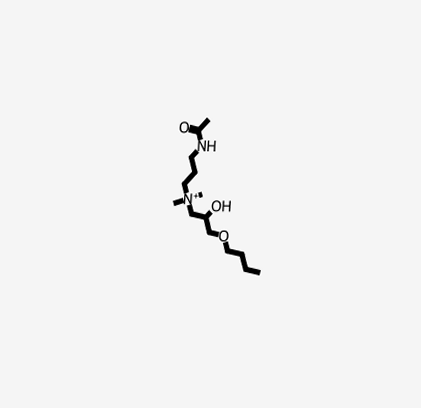 CCCCOCC(O)C[N+](C)(C)CCCNC(C)=O